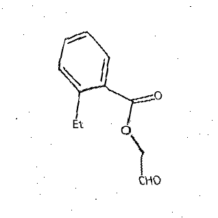 CCc1ccccc1C(=O)OCC=O